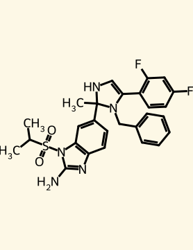 CC(C)S(=O)(=O)n1c(N)nc2ccc(C3(C)NC=C(c4ccc(F)cc4F)N3Cc3ccccc3)cc21